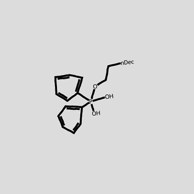 CCCCCCCCCCCCOP(O)(O)(c1ccccc1)c1ccccc1